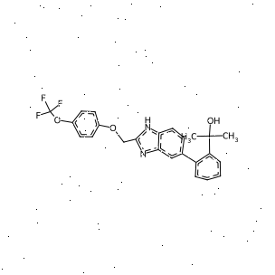 CC(C)(O)c1ccccc1-c1ccc2[nH]c(COc3ccc(OC(F)(F)F)cc3)nc2c1